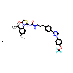 Cc1ccc(N2C(=O)CS/C2=N\C(=O)NCCCc2ccc(-c3ncn(-c4ccc(OC(F)(F)F)cc4)n3)cc2)c(C(C)C)c1